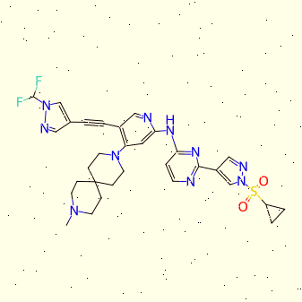 CN1CCC2(CC1)CCN(c1cc(Nc3ccnc(-c4cnn(S(=O)(=O)C5CC5)c4)n3)ncc1C#Cc1cnn(C(F)F)c1)CC2